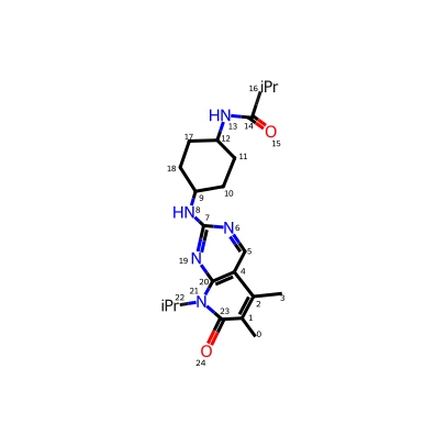 Cc1c(C)c2cnc(NC3CCC(NC(=O)C(C)C)CC3)nc2n(C(C)C)c1=O